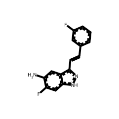 Nc1cc2c(C=Cc3cccc(F)c3)n[nH]c2cc1F